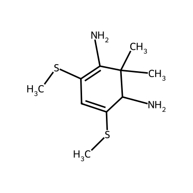 CSC1=CC(SC)=C(N)C(C)(C)C1N